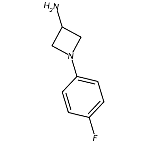 NC1CN(c2ccc(F)cc2)C1